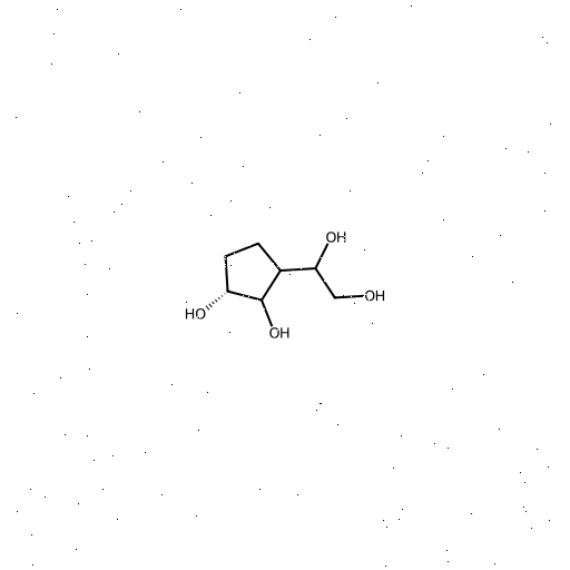 OCC(O)C1CC[C@@H](O)C1O